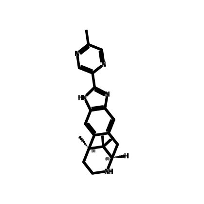 Cc1cnc(-c2nc3cc4c(cc3[nH]2)[C@]2(C)CCN[C@H](C4)C2(C)C)cn1